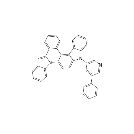 c1ccc(-c2cncc(-n3c4ccccc4c4c5c6ccccc6c6cc7ccccc7n6c5ccc43)c2)cc1